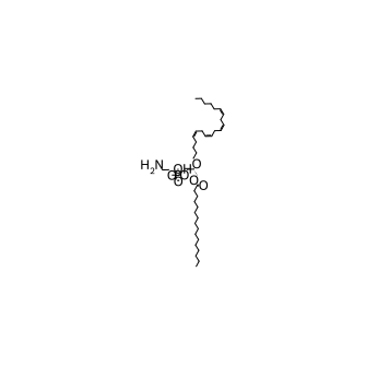 CCCCC/C=C\C/C=C\C/C=C\C/C=C\CCCCO[C@H](COC(=O)CCCCCCCCCCCCCCC)COP(=O)(O)OCCN